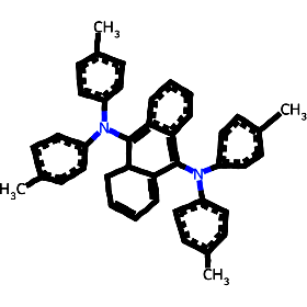 Cc1ccc(N(C2=c3ccccc3=C(N(c3ccc(C)cc3)c3ccc(C)cc3)C3CC=CC=C23)c2ccc(C)cc2)cc1